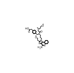 COCCc1nc2c(N)nc3ccccc3c2n1CCCN(Cc1ccc(CC(=O)O)cc1)C(=O)CN(C)CCOC